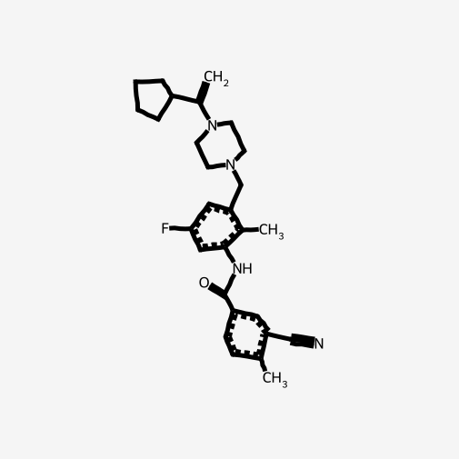 C=C(C1CCCC1)N1CCN(Cc2cc(F)cc(NC(=O)c3ccc(C)c(C#N)c3)c2C)CC1